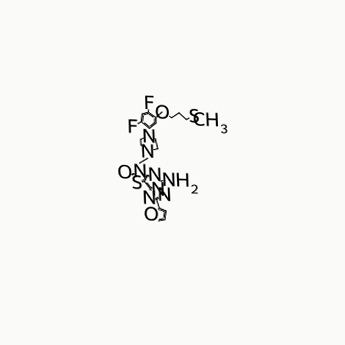 CSCCCOc1cc(N2CCN(CCn3c(=O)sc4c3nc(N)n3nc(-c5ccco5)nc43)CC2)c(F)cc1F